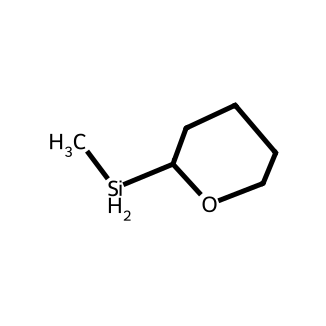 C[SiH2][C]1CCCCO1